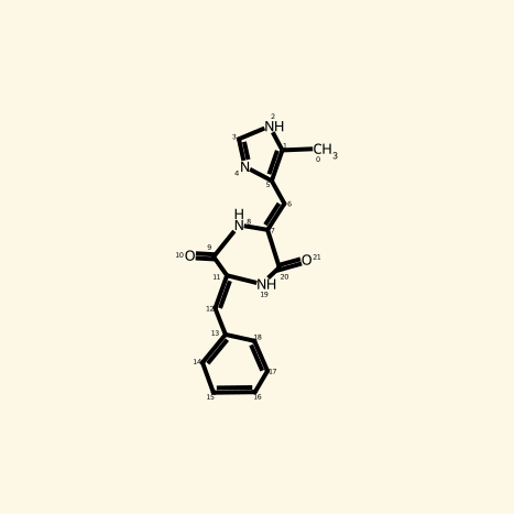 Cc1[nH]cnc1/C=c1\[nH]c(=O)/c(=C/c2ccccc2)[nH]c1=O